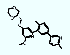 COc1cc(OC[C@H]2COCCO2)cc(-c2cc(-c3ccc(C)nc3)ccc2C)n1